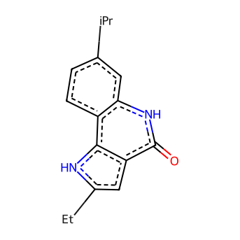 CCc1cc2c(=O)[nH]c3cc(C(C)C)ccc3c2[nH]1